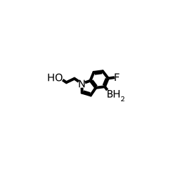 Bc1c(F)ccc2c1ccn2CCO